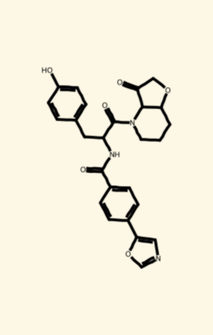 O=C(NC(Cc1ccc(O)cc1)C(=O)N1CCCC2OCC(=O)C21)c1ccc(-c2cnco2)cc1